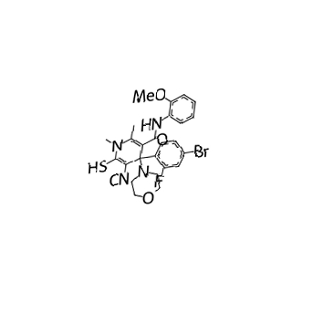 COc1ccccc1NC(=O)C1=C(C)N(C)C(S)=C(C#N)C1(c1ccc(Br)cc1F)N1CCOCC1